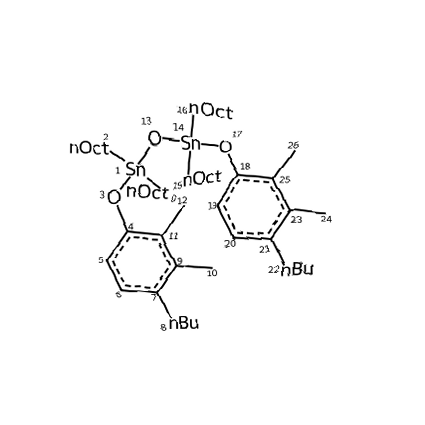 CCCCCCC[CH2][Sn]([CH2]CCCCCCC)([O]c1ccc(CCCC)c(C)c1C)[O][Sn]([CH2]CCCCCCC)([CH2]CCCCCCC)[O]c1ccc(CCCC)c(C)c1C